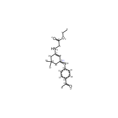 CCOC(=O)CNC1=C/C(=N/c2ccc(C(C)=O)cc2)CC(C)(C)C1